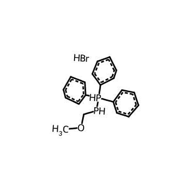 Br.COCP[PH](c1ccccc1)(c1ccccc1)c1ccccc1